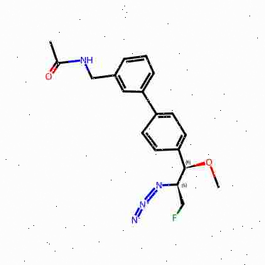 CO[C@H](c1ccc(-c2cccc(CNC(C)=O)c2)cc1)[C@@H](CF)N=[N+]=[N-]